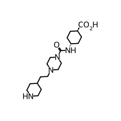 O=C(N[C@H]1CC[C@H](C(=O)O)CC1)N1CCN(CCC2CCNCC2)CC1